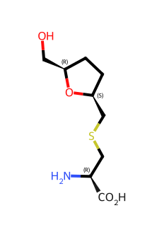 N[C@@H](CSC[C@@H]1CC[C@H](CO)O1)C(=O)O